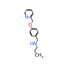 CCCNCc1ccc(OCc2ccccn2)cc1